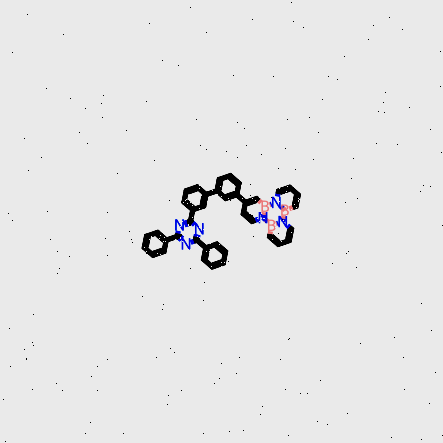 C1=CB2N3C=CC=CB3N3C=CC(c4cccc(-c5cccc(-c6nc(-c7ccccc7)nc(-c7ccccc7)n6)c5)c4)=CB3N2C=C1